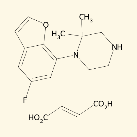 CC1(C)CNCCN1c1cc(F)cc2ccoc12.O=C(O)C=CC(=O)O